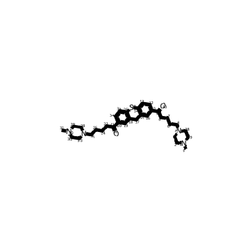 CN1CCN(CCCCC(=O)c2ccc3c(c2)Cc2cc(C(=O)CCCCN4CCN(C)CC4)ccc2S3)CC1